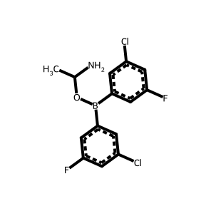 CC(N)OB(c1cc(F)cc(Cl)c1)c1cc(F)cc(Cl)c1